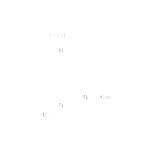 CC(C)(C)N1CN(C(C)(C)C)c2ccccc21.O=C(O)O